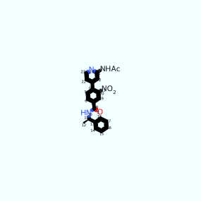 CC(=O)Nc1cc(-c2ccc(C(=O)N[C@H](C)c3ccccc3)cc2[N+](=O)[O-])ccn1